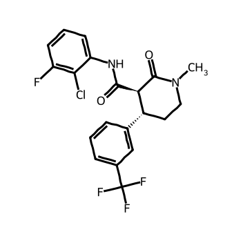 CN1CC[C@H](c2cccc(C(F)(F)F)c2)[C@@H](C(=O)Nc2cccc(F)c2Cl)C1=O